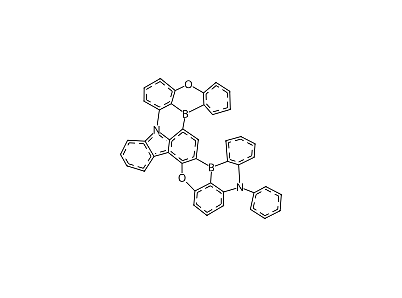 c1ccc(N2c3ccccc3B3c4cc5c6c(c4Oc4cccc2c43)c2ccccc2n6-c2cccc3c2B5c2ccccc2O3)cc1